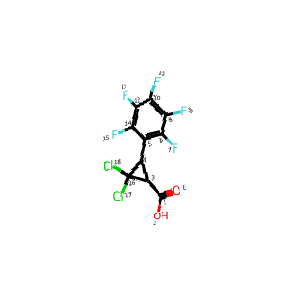 O=C(O)C1C(c2c(F)c(F)c(F)c(F)c2F)C1(Cl)Cl